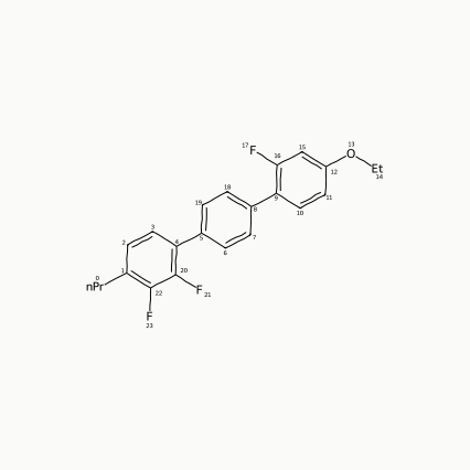 CCCc1ccc(-c2ccc(-c3ccc(OCC)cc3F)cc2)c(F)c1F